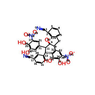 N#Cc1cccc(CC(C(=O)C(Cc2cccc(C#N)c2)c2cc(O)c(O)c([N+](=O)[O-])c2)c2cc(O)c(O)c([N+](=O)[O-])c2)c1